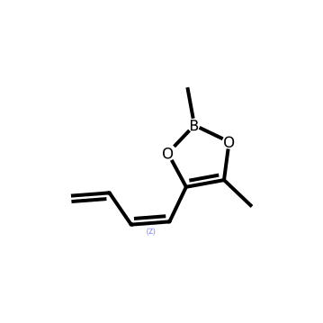 C=C/C=C\C1=C(C)OB(C)O1